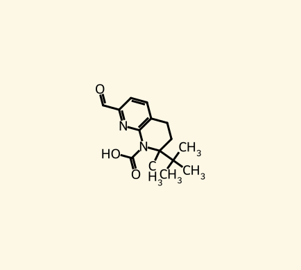 CC(C)(C)C1(C)CCc2ccc(C=O)nc2N1C(=O)O